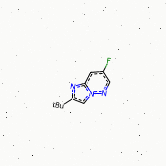 CC(C)(C)c1cn2ncc(F)cc2n1